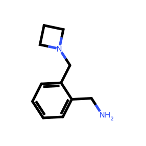 NCc1ccccc1CN1CCC1